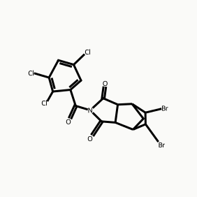 O=C(c1cc(Cl)cc(Cl)c1Cl)N1C(=O)C2C3CC(C(Br)C3Br)C2C1=O